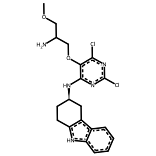 COCC(N)COc1c(Cl)nc(Cl)nc1N[C@@H]1CCc2[nH]c3ccccc3c2C1